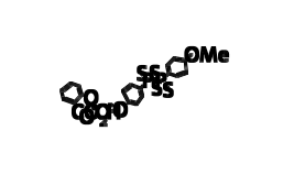 COc1ccc(P2(=S)SP(=S)(c3ccc(OCOC(=O)Oc4ccccc4C(=O)O)cc3)S2)cc1